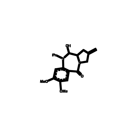 C=C1CC2C(O)N(C(C)C)c3cc(OC)c(OC)cc3C(=O)N2C1